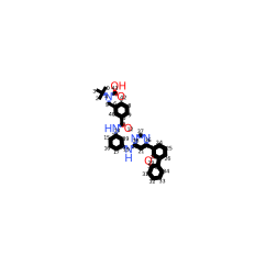 CC(C)(C)N(Cc1cccc(C(=O)Nc2cccc(Nc3cc(-c4cccc5c4oc4ccccc45)ncn3)c2)c1)C(=O)O